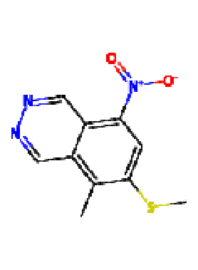 CSc1cc([N+](=O)[O-])c2cnncc2c1C